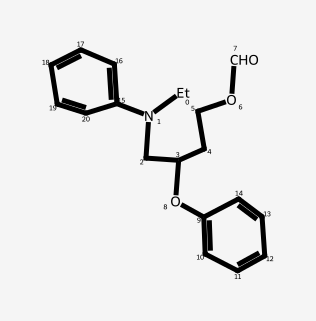 CCN(CC(CCOC=O)Oc1ccccc1)c1ccccc1